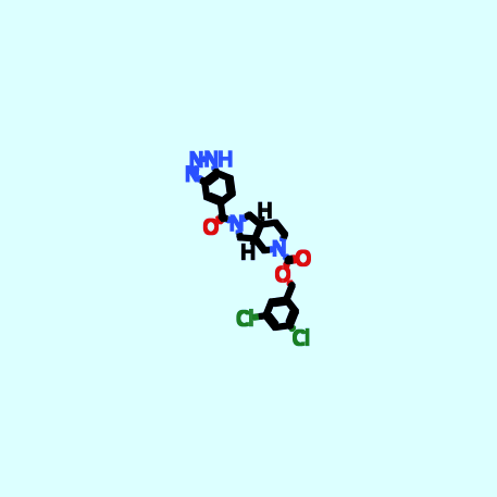 O=C(OCc1cc(Cl)cc(Cl)c1)N1CC[C@@H]2CN(C(=O)c3ccc4[nH]nnc4c3)C[C@H]2C1